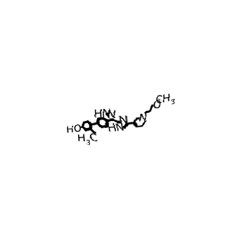 CCc1cc(O)ccc1-c1ccc2c(-c3nc(C4=CCCN(CCCOC)C4)c[nH]3)n[nH]c2c1